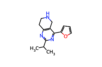 CC(C)c1nc2c(c(-c3ccco3)n1)CNCC2